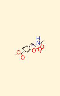 COC(=O)/C(=C\c1ccc(C(=O)OC)cc1)NC(C)=O